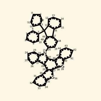 c1ccc(C2(c3ccccc3)c3ccccc3-c3ccc(-n4c5ccccc5c5c6c7ccccc7sc6c6sc7ccccc7c6c54)cc32)cc1